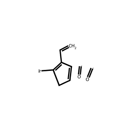 C=CC1=[C]([Ir])CC=C1.[C]=O.[C]=O